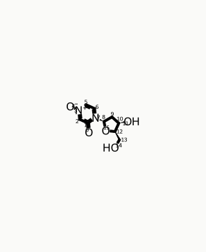 O=c1c[n+]([O-])ccn1[C@@H]1C[C@H](O)[C@@H](CO)O1